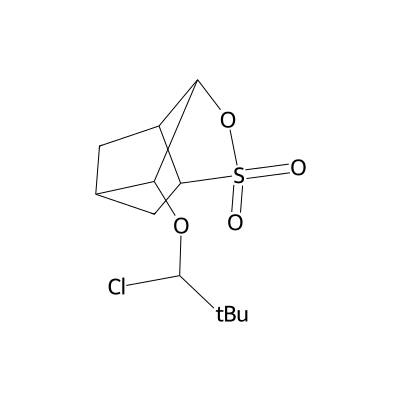 CC(C)(C)C(Cl)OC1C2CC3C1OS(=O)(=O)C3C2